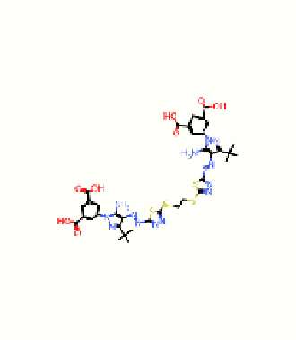 CC(C)(C)c1nn(-c2cc(C(=O)O)cc(C(=O)O)c2)c(N)c1N=Nc1nnc(SCCSc2nnc(N=Nc3c(C(C)(C)C)nn(-c4cc(C(=O)O)cc(C(=O)O)c4)c3N)s2)s1